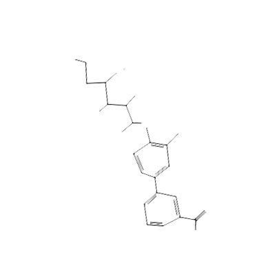 Cc1cc(-c2cccc(C(=O)O)c2)ccc1OC(O)C(O)C(O)C(O)CCO